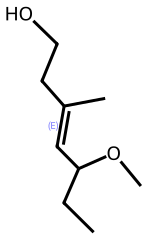 CCC(/C=C(\C)CCO)OC